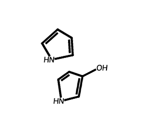 Oc1cc[nH]c1.c1cc[nH]c1